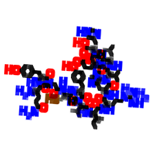 CC[C@H](C)[C@H](NC(=O)[C@@H](NC(=O)[C@H](Cc1ccc(O)cc1)NC(=O)[C@H](CS)NC(=O)CNC(=O)[C@H](Cc1ccc(O)cc1)NC(=O)[C@@H](N)CCC(N)=O)C(C)C)C(=O)N[C@@H](CCCNC(=N)N)C(=O)N[C@@H](Cc1c[nH]cn1)C(=O)N[C@H](C(=O)N[C@@H](CC(C)C)C(=O)N[C@@H](CCC(=O)O)C(=O)N[C@@H](Cc1c[nH]cn1)C(=O)O)C(C)C